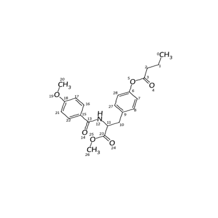 CCCC(=O)Oc1ccc(CC(NC(=O)c2ccc(OC)cc2)C(=O)OC)cc1